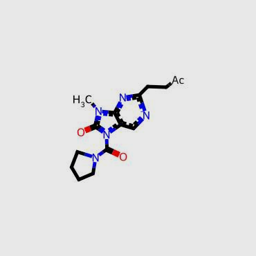 CC(=O)CCc1ncc2c(n1)n(C)c(=O)n2C(=O)N1CCCC1